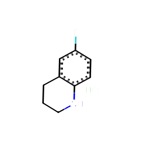 Cl.Fc1ccc2c(c1)CCCN2